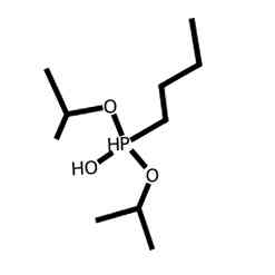 CCCC[PH](O)(OC(C)C)OC(C)C